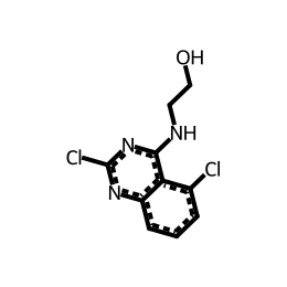 OCCNc1nc(Cl)nc2cccc(Cl)c12